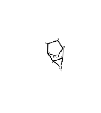 C1CC2O[C]1C1OC21